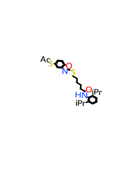 CC(=O)Sc1ccc2oc(SCCCCCC(=O)Nc3c(C(C)C)cccc3C(C)C)nc2c1